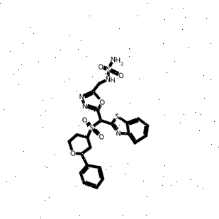 NS(=O)(=O)NCc1nnc(C(c2nc3ccccc3s2)S(=O)(=O)C2CCOC(c3ccccc3)C2)o1